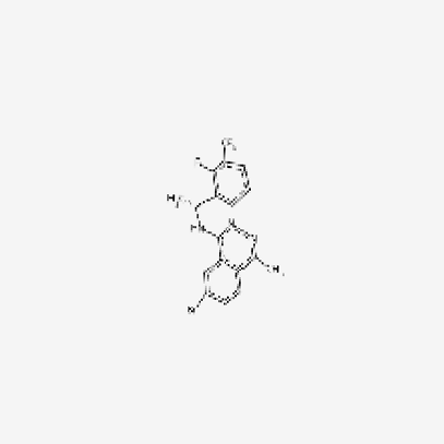 Cc1nnc(N[C@H](C)c2c[c]cc(C(F)(F)F)c2F)c2cc(Br)ccc12